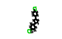 Clc1ccc(C2=CCC(c3ccc(Cl)cc3)C2)cc1